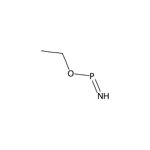 CCOP=N